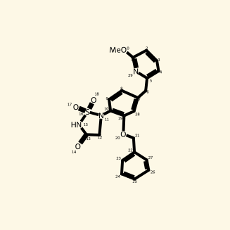 COc1cccc(Cc2ccc(N3CC(=O)NS3(=O)=O)c(OCc3ccccc3)c2)n1